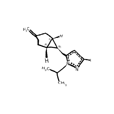 C=C1C[C@@H]2[C@H](C1)[C@H]2c1cc(I)nn1C(C)C